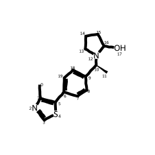 Cc1ncsc1-c1ccc([C@H](C)N2CCCC2O)cc1